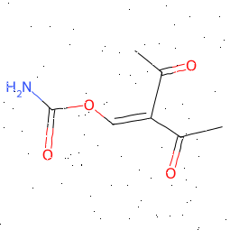 CC(=O)C(=COC(N)=O)C(C)=O